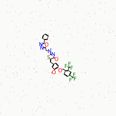 COc1cc(C=C2SC(N(C)Cc3nnc(-c4ccccc4)o3)=NC2=O)ccc1OCc1ccc(C(F)(F)F)cc1C(F)(F)F